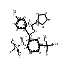 CS(=O)(=O)OC[C@@](OC(=O)N1CCCC1)(c1ccc(F)cc1)c1cccc(C(F)(F)F)c1